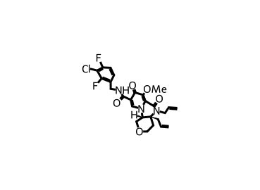 C=CCN1C(=O)c2c(OC)c(=O)c(C(=O)NCc3ccc(F)c(Cl)c3F)cn2[C@H]2COCC[C@]21CC=C